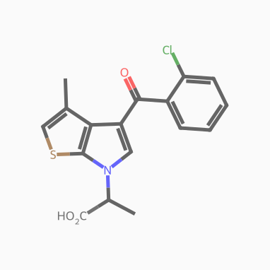 Cc1csc2c1c(C(=O)c1ccccc1Cl)cn2C(C)C(=O)O